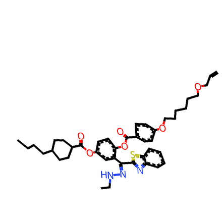 C=CCOCCCCCCOc1ccc(C(=O)Oc2ccc(OC(=O)C3CCC(CCCC)CC3)cc2C(=NNCC)c2nc3ccccc3s2)cc1